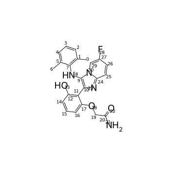 Cc1cccc(C)c1Nc1c(-c2c(O)cccc2OCC(N)=O)nc2ccc(F)cn12